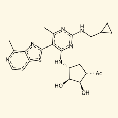 CC(=O)[C@H]1C[C@@H](Nc2nc(NCC3CC3)nc(C)c2-c2nc3c(C)nccc3s2)[C@H](O)[C@@H]1O